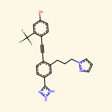 Oc1ccc(C#Cc2ccc(-c3n[nH][nH]3)cc2CCCn2cccn2)c(C(F)(F)F)c1